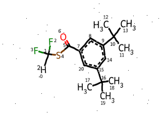 [2H]C(F)(F)SC(=O)c1cc(C(C)(C)C)cc(C(C)(C)C)c1